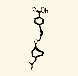 CC(C)Cc1ccc(OCC#Cc2ccc(C(=O)O)cc2)cc1